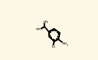 CCCC(CCC)c1ccc(N)c(CC)c1